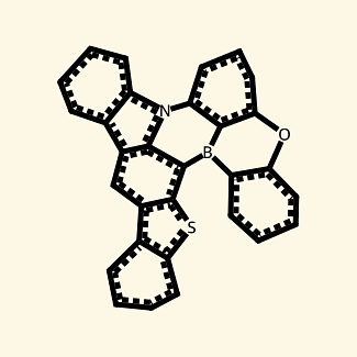 c1ccc2c(c1)Oc1cccc3c1B2c1c2sc4ccccc4c2cc2c4ccccc4n-3c12